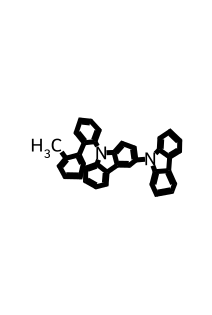 Cc1ccccc1-c1ccccc1-n1c2ccccc2c2cc(-n3c4ccccc4c4ccccc43)ccc21